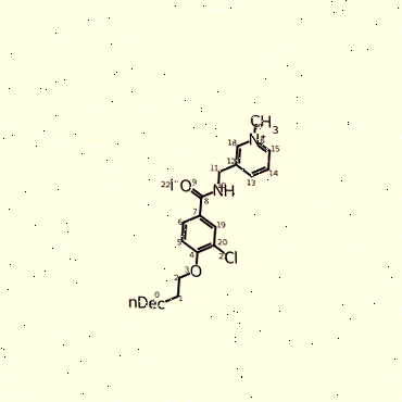 CCCCCCCCCCCCOc1ccc(C(=O)NCc2ccc[n+](C)c2)cc1Cl.[I-]